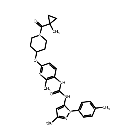 Cc1ccc(-n2nc(C(C)(C)C)cc2NC(=O)Nc2ccc(OC3CCN(C(=O)C4(C)CC4)CC3)nc2C)cc1